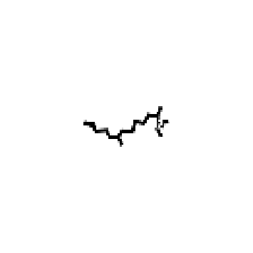 C=CCCCC(C)CCCCCC(C)N(C)CC